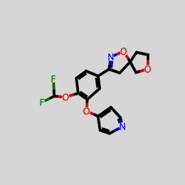 FC(F)Oc1ccc(C2=NOC3(CCOC3)C2)cc1Oc1ccncc1